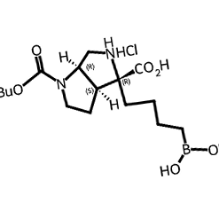 CC(C)COC(=O)N1CC[C@H]2[C@@H]1CN[C@@]2(CCCCB(O)O)C(=O)O.Cl